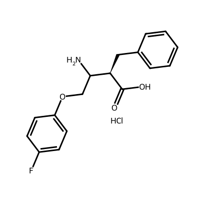 Cl.NC(COc1ccc(F)cc1)[C@@H](Cc1ccccc1)C(=O)O